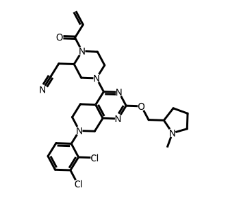 C=CC(=O)N1CCN(c2nc(OCC3CCCN3C)nc3c2CCN(c2cccc(Cl)c2Cl)C3)CC1CC#N